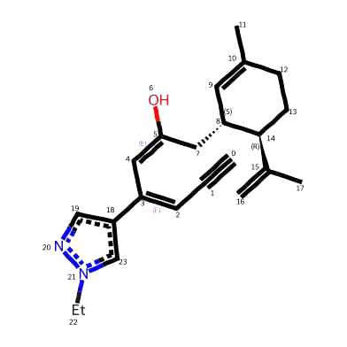 C#C/C=C(\C=C(\O)C[C@@H]1C=C(C)CC[C@H]1C(=C)C)c1cnn(CC)c1